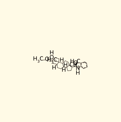 CCOC[C@@]1(O)CCC2(CC)[C@H](CC[C@@H]3[C@@H]2CC[C@]2(C)[C@@H](C(=O)Nc4ccccc4C)CC[C@@H]32)C1